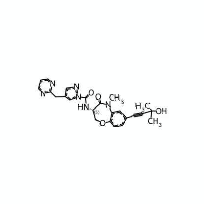 CN1C(=O)[C@@H](NC(=O)n2cc(Cc3ncccn3)cn2)COc2ccc(C#CC(C)(C)O)cc21